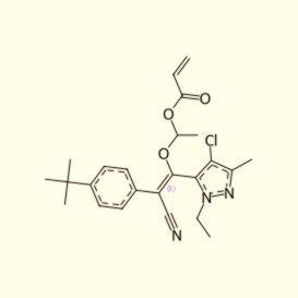 C=CC(=O)OC(C)O/C(=C(/C#N)c1ccc(C(C)(C)C)cc1)c1c(Cl)c(C)nn1CC